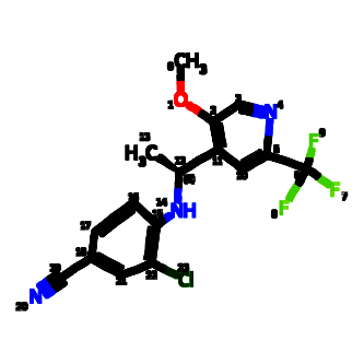 COc1cnc(C(F)(F)F)cc1[C@H](C)Nc1ccc(C#N)cc1Cl